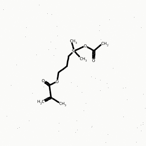 C=C(C)C(=O)OCCC[Si](C)(C)OC(C)=O